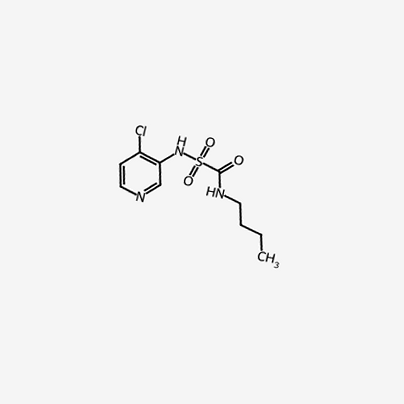 CCCCNC(=O)S(=O)(=O)Nc1cnccc1Cl